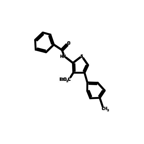 CCOC(=O)c1c(-c2ccc(C)cc2)csc1NC(=O)c1ccccc1